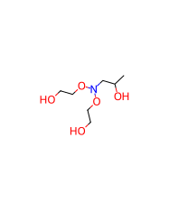 CC(O)CN(OCCO)OCCO